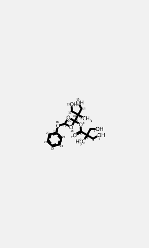 CC(CO)(CO)C(=O)OC1(C(C)(CO)CO)OC(Oc2ccccc2)O1